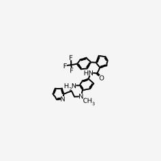 CN(CCc1ccccn1)c1ccc(NC(=O)c2ccccc2-c2ccc(C(F)(F)F)cc2)cc1N